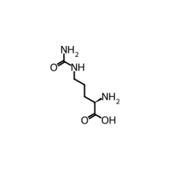 NC(=O)NCCC[C@@H](N)C(=O)O